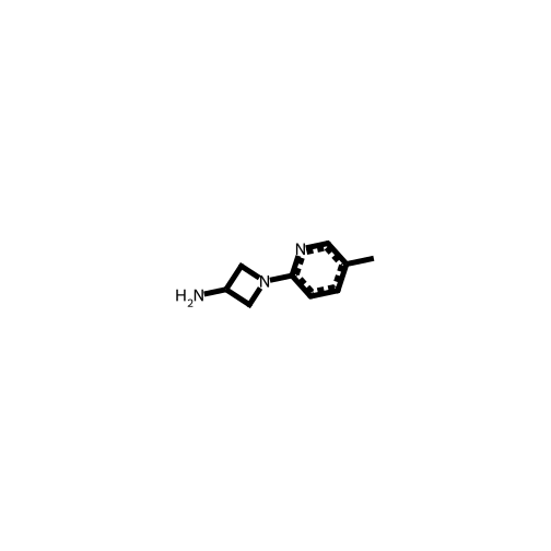 Cc1ccc(N2CC(N)C2)nc1